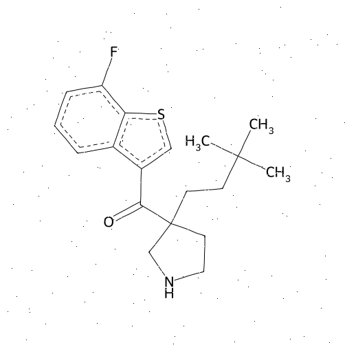 CC(C)(C)CCC1(C(=O)c2csc3c(F)cccc23)CCNC1